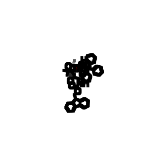 C[C@H]1OC(C)(C)N(C(=O)[C@H](CC(=O)NC(c2ccccc2)(c2ccccc2)c2ccccc2)NC(=O)OCC2c3ccccc3-c3ccccc32)[C@@H]1C(=O)O